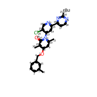 Cc1cccc(COc2cc(C)n(-c3cc(-c4ccnc(C(C)(C)C)n4)ncc3Cl)c(=O)c2C)c1